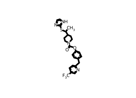 CC(Sc1ncc[nH]1)C1CCN(C(=O)Oc2ccc(Cc3ccc(C(F)(F)F)cn3)cc2)CC1